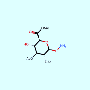 COC(=O)[C@H]1O[C@@H](ON)[C@H](OC(C)=O)[C@@H](OC(C)=O)[C@@H]1O